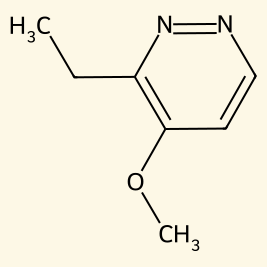 CCc1nnccc1OC